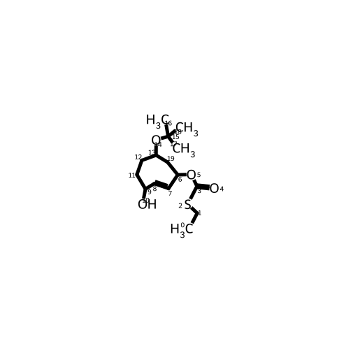 CCSC(=O)OC1/C=C/C(O)CCC(OC(C)(C)C)C1